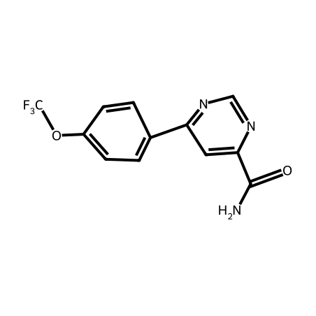 NC(=O)c1cc(-c2ccc(OC(F)(F)F)cc2)ncn1